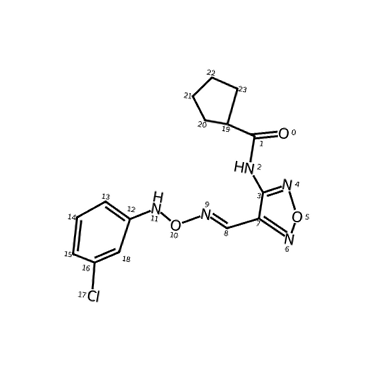 O=C(Nc1nonc1/C=N/ONc1cccc(Cl)c1)C1CCCC1